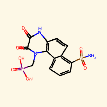 NS(=O)(=O)c1cccc2c1ccc1[nH]c(=O)c(=O)n(CP(=O)(O)O)c12